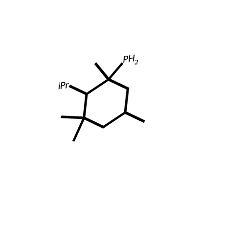 CC1CC(C)(C)C(C(C)C)C(C)(P)C1